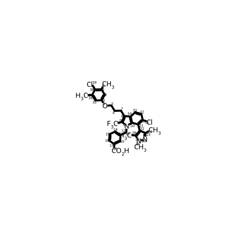 Cc1cc(OCCCc2c(C(F)(F)F)n(Cc3cccc(C(=O)O)c3)c3c(-c4c(C)nn(C)c4C)c(Cl)ccc23)cc(C)c1Cl